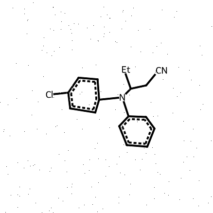 CCC(CC#N)N(c1ccccc1)c1ccc(Cl)cc1